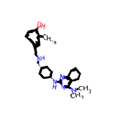 Cc1cc(CNC[C@H]2CC[C@@H](Nc3nc4c(c(N(C)C)n3)CCCC4)CC2)ccc1O